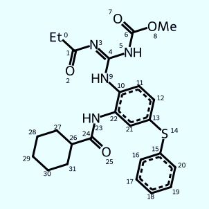 CCC(=O)N=C(NC(=O)OC)Nc1ccc(Sc2ccccc2)cc1NC(=O)C1CCCCC1